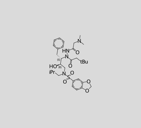 CC(C)CN(C[C@@H](O)[C@H](Cc1ccccc1)N(NC(=O)CN(C)C)C(=O)CC(C)(C)C)S(=O)(=O)c1ccc2c(c1)OCO2